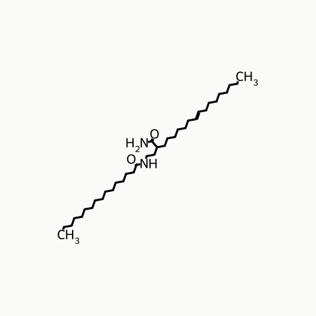 CCCCCCCCC=CCCCCCCC(CCNC(=O)CCCCCCCCCCCCCCC)C(N)=O